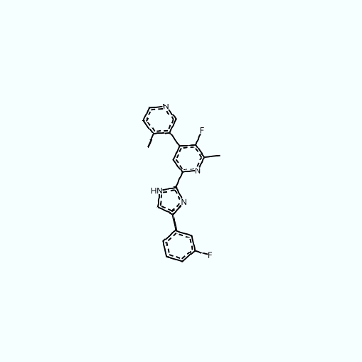 Cc1ccncc1-c1cc(-c2nc(-c3cccc(F)c3)c[nH]2)nc(C)c1F